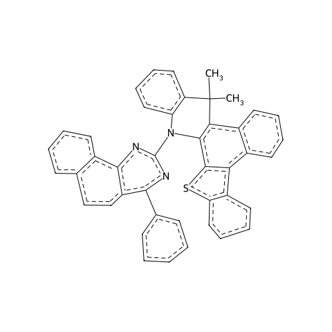 CC1(C)c2ccccc2N(c2nc(-c3ccccc3)c3ccc4ccccc4c3n2)c2c1c1ccccc1c1c2sc2ccccc21